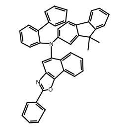 CC1(C)c2ccccc2-c2ccc(N(c3ccccc3-c3ccccc3)c3cc4nc(-c5ccccc5)oc4c4ccccc34)cc21